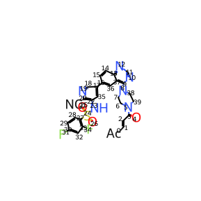 CC(=O)/C=C/C(=O)N1CCN(c2ncnc3ccc(-c4cnc(C#N)c(NS(=O)(=O)c5ccc(F)cc5F)c4)cc23)CC1